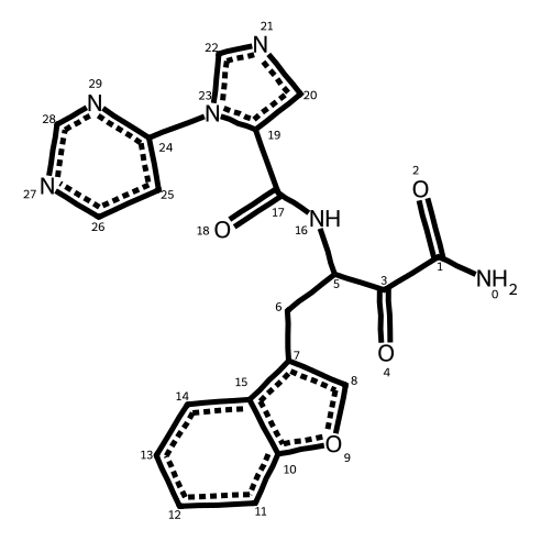 NC(=O)C(=O)C(Cc1coc2ccccc12)NC(=O)c1cncn1-c1ccncn1